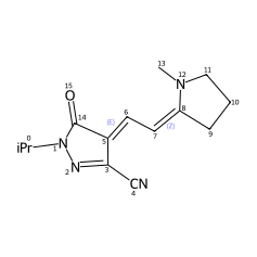 CC(C)N1N=C(C#N)/C(=C\C=C2\CCCN2C)C1=O